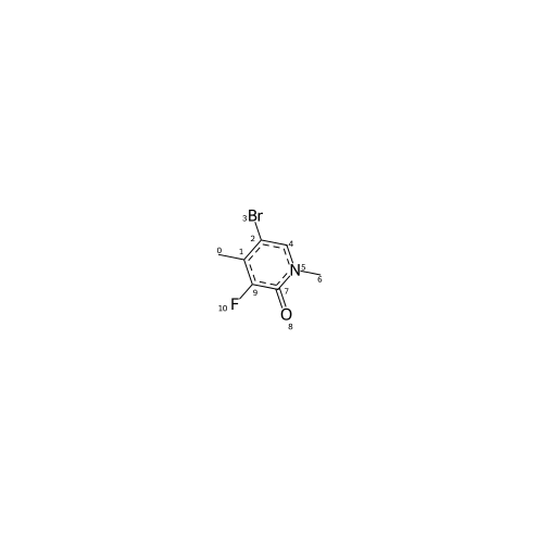 Cc1c(Br)cn(C)c(=O)c1F